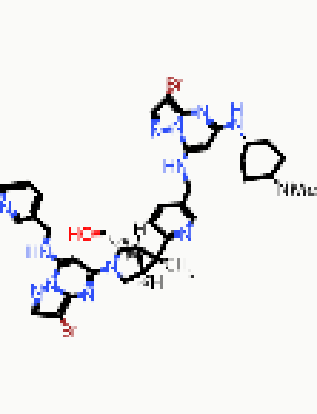 CN[C@H]1CC[C@H](Nc2cc(NCc3ccc(C4(C)[C@@H]5[C@@H](CO)N(c6cc(NCc7cccnc7)n7ncc(Br)c7n6)C[C@@H]54)nc3)n3ncc(Br)c3n2)CC1